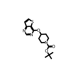 CC(C)(C)OC(=O)N1CCC(Oc2ncnc3ccsc23)CC1